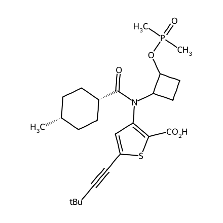 CC(C)(C)C#Cc1cc(N(C(=O)[C@H]2CC[C@@H](C)CC2)C2CCC2OP(C)(C)=O)c(C(=O)O)s1